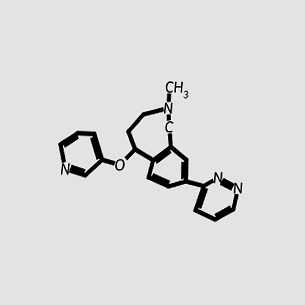 CN1CCC(Oc2cccnc2)c2ccc(-c3cccnn3)cc2C1